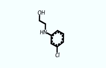 OCCNc1cccc(Cl)c1